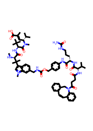 CN[C@@H](C(=O)N[C@H](C(=O)N(C)[C@H](/C=C(\C)C(=O)O)C(C)C)C(C)(C)C)C(C)(C)c1cn(C)c2cc(CNC(=O)OCc3ccc(NC(=O)[C@H](CCCNC(N)=O)NC(=O)[C@@H](NC(=O)CCC(=O)N4Cc5ccccc5/C=C\c5ccccc54)C(C)C)cc3)ccc12